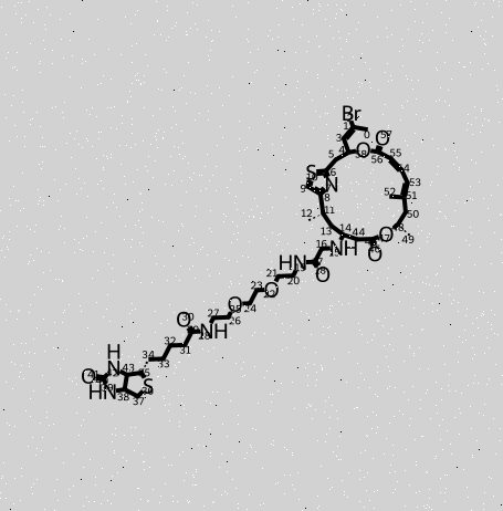 C/C(Br)=C\C1Cc2nc(cs2)[C@@H](C)CC(NCC(=O)NCCOCCOCCNC(=O)CCCC[C@@H]2SCC3NC(=O)NC32)CC(=O)O[C@@H](C)C/C(C)=C/C=C\C(=O)O1